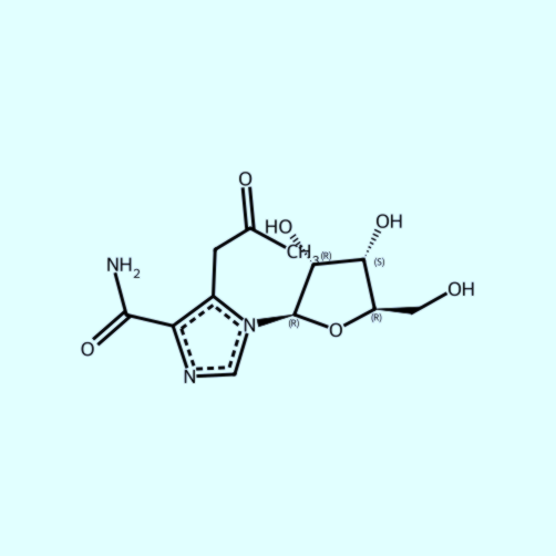 CC(=O)Cc1c(C(N)=O)ncn1[C@@H]1O[C@H](CO)[C@@H](O)[C@H]1O